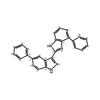 c1ccc(-c2nccc3[nH]c(-c4n[nH]c5cnc(-c6cccnc6)cc45)nc23)nc1